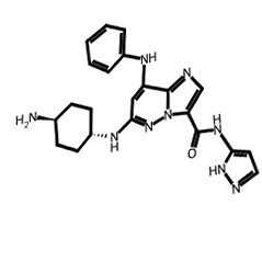 N[C@H]1CC[C@H](Nc2cc(Nc3ccccc3)c3ncc(C(=O)Nc4ccn[nH]4)n3n2)CC1